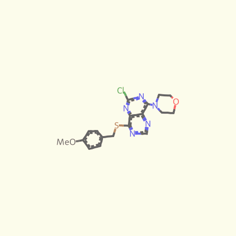 COc1ccc(CSc2ncnc3c(N4CCOCC4)nc(Cl)nc23)cc1